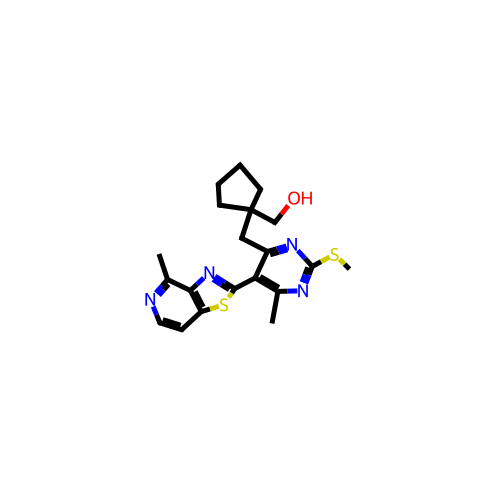 CSc1nc(C)c(-c2nc3c(C)nccc3s2)c(CC2(CO)CCCC2)n1